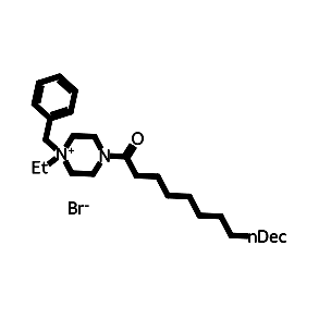 CCCCCCCCCCCCCCCCCC(=O)N1CC[N+](CC)(Cc2ccccc2)CC1.[Br-]